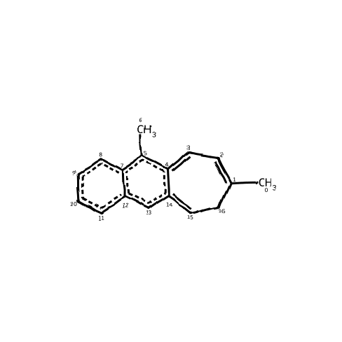 CC1=CC=c2c(C)c3ccccc3cc2=CC1